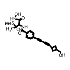 CSC(C)(C)C(NC(=O)c1ccc(C#CC#CC2CC(CO)C2)cc1)C(=O)NO